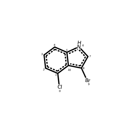 Clc1cccc2[nH][c]c(Br)c12